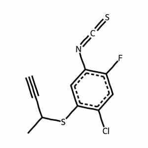 C#CC(C)Sc1cc(N=C=S)c(F)cc1Cl